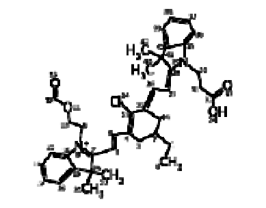 CCC1CC(/C=C/C2=[N+](CCOC=O)c3ccccc3C2(C)C)=C(Cl)C(=C/C=C2/N(CCC(=O)O)c3ccccc3C2(C)C)/C1